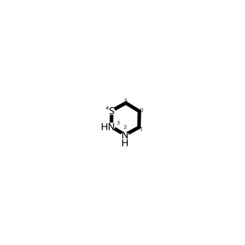 C1CNNSC1